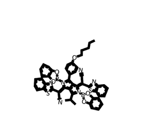 CCCCCOc1ccc(-c2c3/c(=C(\C#N)c4nc5ccccc5s4)n(B4Oc5ccccc5O4)c(C(C)C)c3/c(=C(\C#N)c3nc4ccccc4s3)n2B2Oc3ccccc3O2)cc1